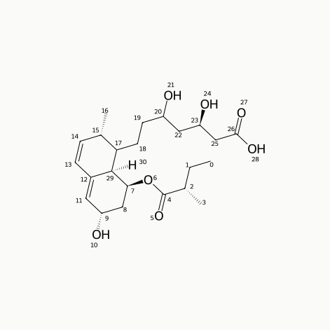 CC[C@H](C)C(=O)O[C@H]1C[C@H](O)C=C2C=C[C@H](C)C(CCC(O)C[C@@H](O)CC(=O)O)[C@H]21